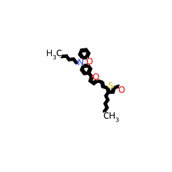 CCCCCCc1cc(C=O)sc1/C=C/c1ccc(-c2ccc3c(c2)Oc2ccccc2N3CCCCCC)o1